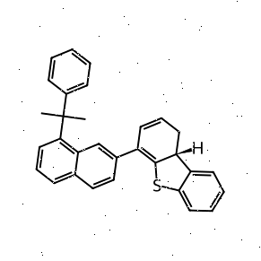 CC(C)(c1ccccc1)c1cccc2ccc(C3=C4Sc5ccccc5[C@H]4CC=C3)cc12